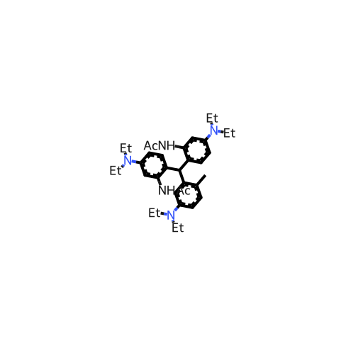 CCN(CC)c1ccc(C(c2cc(N(CC)CC)ccc2C)c2ccc(N(CC)CC)cc2NC(C)=O)c(NC(C)=O)c1